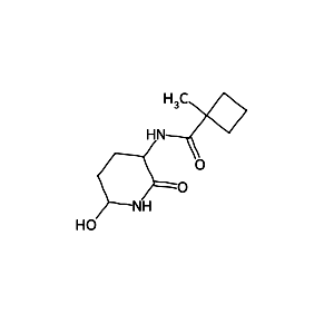 CC1(C(=O)NC2CCC(O)NC2=O)CCC1